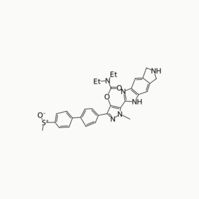 CCN(CC)C(=O)Oc1c(-c2ccc(-c3ccc([S+](C)[O-])cc3)cc2)nn(C)c1-c1nc2cc3c(cc2[nH]1)CNC3